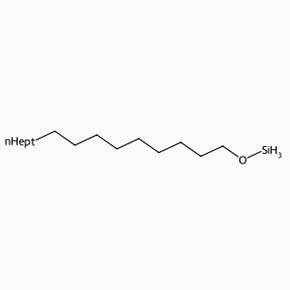 CCCCCCCCCCCCCCCCO[SiH3]